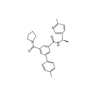 Cc1ccc(-c2cc(C(=O)N[C@H](C)c3ccc(C)nc3)cc(C(=O)N3CCCC3)c2)cc1